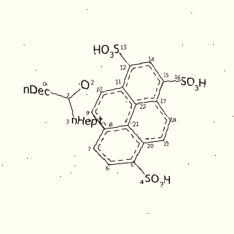 CCCCCCCCCCC([O])CCCCCCC.O=S(=O)(O)c1ccc2ccc3c(S(=O)(=O)O)cc(S(=O)(=O)O)c4ccc1c2c34